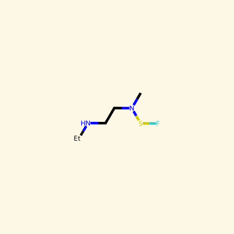 CCNCCN(C)SF